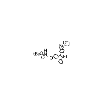 CC/C(=C(/c1ccc(OCCNC(=O)OC(C)(C)C)cc1)c1ccc2c(cnn2C2CCCCO2)c1)c1ccccc1